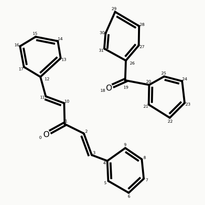 O=C(C=Cc1ccccc1)C=Cc1ccccc1.O=C(c1ccccc1)c1ccccc1